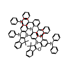 CC1(C)C2=C(Oc3cc(N(c4ccccc4)c4ccccc4)cc4c3B2c2cc3c(cc2N4c2ccccc2)N(c2c(-c4ccccc4)cccc2-c2ccccc2)c2cc(N(c4ccccc4)c4ccccc4)cc4c2B3C2=C(c3ccccc3C2(C)C)N4c2ccccc2)c2ccccc21